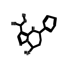 CCOC(O)c1cnn2c1NC(c1ccccc1)CCC2C